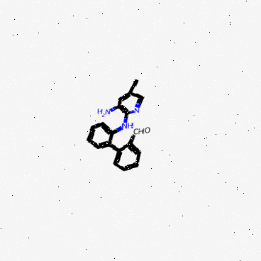 Cc1cnc(Nc2ccccc2-c2ccccc2C=O)c(N)c1